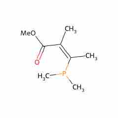 COC(=O)/C(C)=C(/C)P(C)C